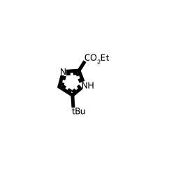 CCOC(=O)c1ncc(C(C)(C)C)[nH]1